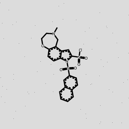 CN1CCOc2ccc3c(cc(S(=O)(=O)Cl)n3S(=O)(=O)c3ccc4ccccc4c3)c2C1